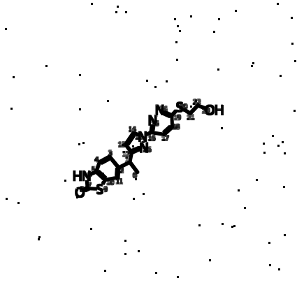 CC(c1ccc2[nH]c(=O)sc2c1)c1ccn(-c2ccc(SCCO)nn2)n1